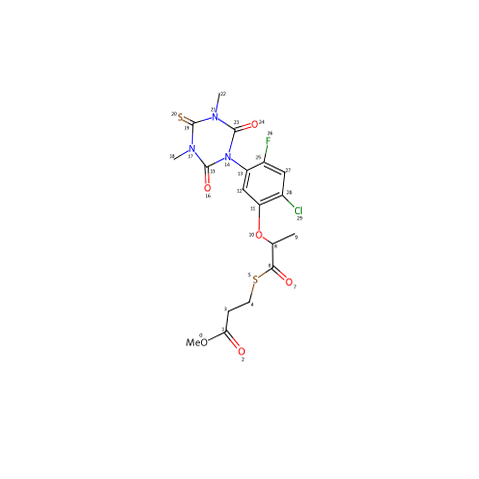 COC(=O)CCSC(=O)C(C)Oc1cc(-n2c(=O)n(C)c(=S)n(C)c2=O)c(F)cc1Cl